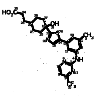 Cc1cc(Nc2nccc(C(F)(F)F)n2)cc(-c2cnc(C3(O)CCC(CCC(=O)O)CC3)s2)c1